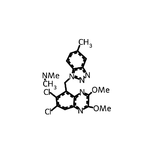 CNC.COc1nc2cc(Cl)c(Cl)c(Cn3nnc4cc(C)ccc43)c2nc1OC